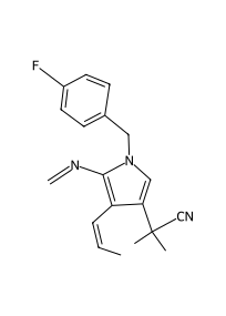 C=Nc1c(/C=C\C)c(C(C)(C)C#N)cn1Cc1ccc(F)cc1